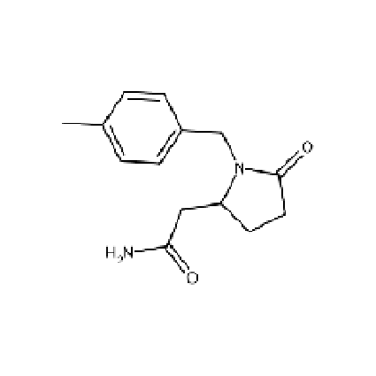 Cc1ccc(CN2C(=O)CCC2CC(N)=O)cc1